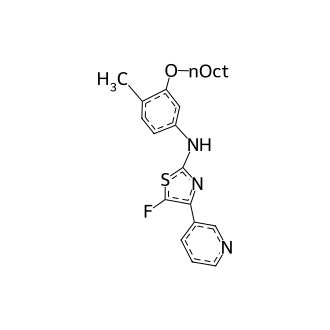 CCCCCCCCOc1cc(Nc2nc(-c3cccnc3)c(F)s2)ccc1C